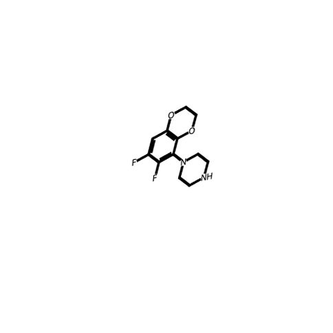 Fc1cc2c(c(N3CCNCC3)c1F)OCCO2